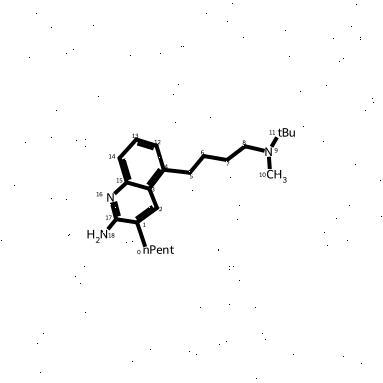 CCCCCc1cc2c(CCCCN(C)C(C)(C)C)cccc2nc1N